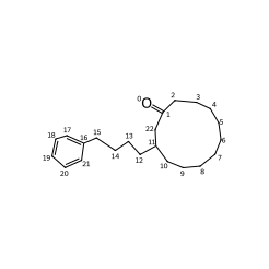 O=C1CCCCCCCCCC(CCCCc2ccccc2)C1